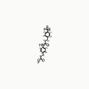 COC(=O)CCc1ccc(NC(=O)CCc2ccc(C(F)(F)F)cc2)cc1